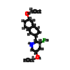 CCCCCCCCOc1cnc(-c2ccc3cc(OCCCCCCCC)ccc3c2)c(F)c1